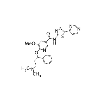 COc1cc(C(=O)Nc2nnc(-c3ccncn3)s2)cnc1OC(CCN(C)C)c1ccccc1